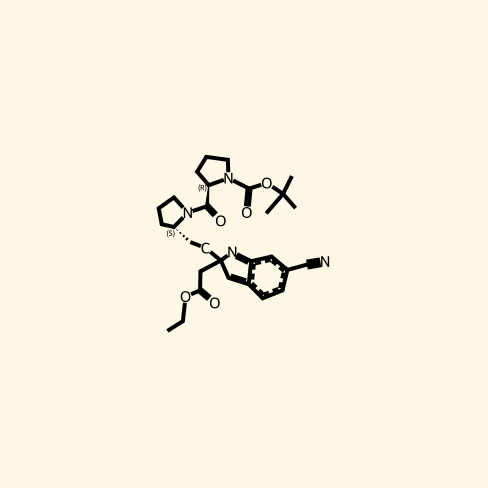 CCOC(=O)CC1(CC[C@@H]2CCCN2C(=O)[C@H]2CCCN2C(=O)OC(C)(C)C)C=c2ccc(C#N)cc2=N1